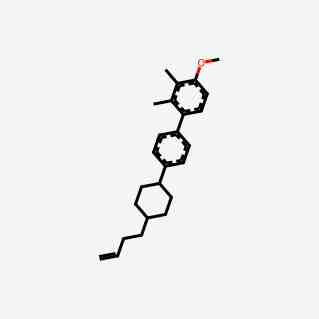 C=CCCC1CCC(c2ccc(-c3ccc(OC)c(C)c3C)cc2)CC1